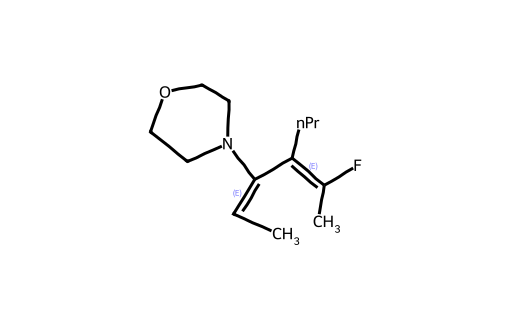 C/C=C(\C(CCC)=C(/C)F)N1CCOCC1